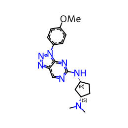 COc1ccc(-n2nnc3cnc(N[C@@H]4CC[C@H](N(C)C)C4)nc32)cc1